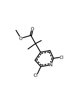 COC(=O)C(C)(C)c1cc(Cl)nc(Cl)c1